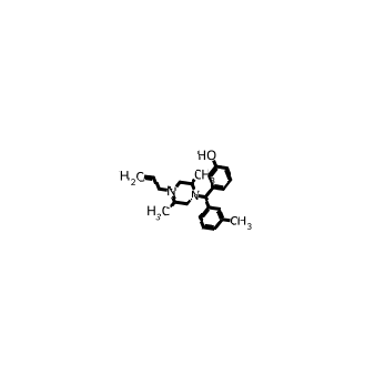 C=CCN1CC(C)N(C(c2cccc(C)c2)c2cccc(O)c2)CC1C